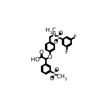 CN(Cc1ccc(OC(C(=O)O)c2cccc(S(C)(=O)=O)c2)cc1)S(=O)(=O)c1cc(F)cc(F)c1